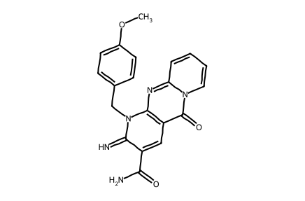 COc1ccc(Cn2c(=N)c(C(N)=O)cc3c(=O)n4ccccc4nc32)cc1